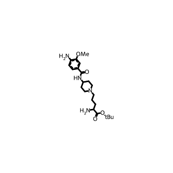 COc1cc(C(=O)NC2CCN(CCCC(N)C(=O)OC(C)(C)C)CC2)ccc1N